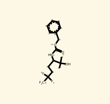 CC(C)(O)C(CCC(F)(F)C(F)(F)F)NC(=O)OCc1ccccc1